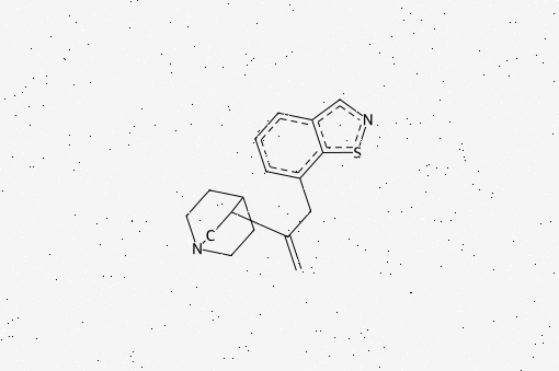 C=C(Cc1cccc2cnsc12)C1CN2CCC1CC2